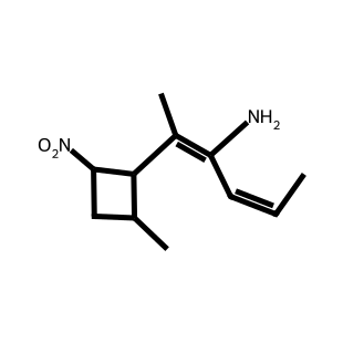 C/C=C\C(N)=C(\C)C1C(C)CC1[N+](=O)[O-]